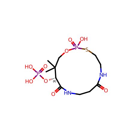 CC1(C)COP(=O)(O)SCCNC(=O)CCNC(=O)[C@@H]1OP(=O)(O)O